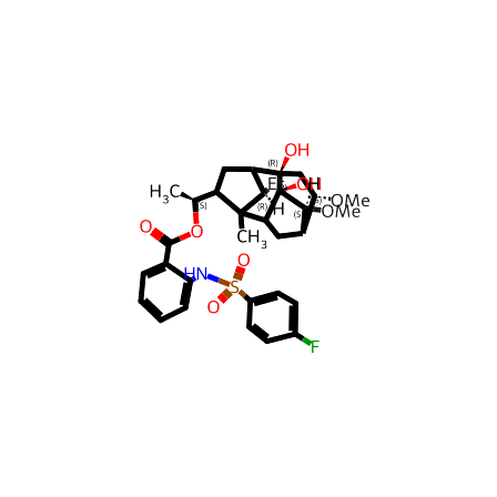 CC[C@@H]1C2CC([C@H](C)OC(=O)c3ccccc3NS(=O)(=O)c3ccc(F)cc3)C1(C)C1CC3[C@@H](OC)C[C@]2(O)[C@]1(O)[C@H]3OC